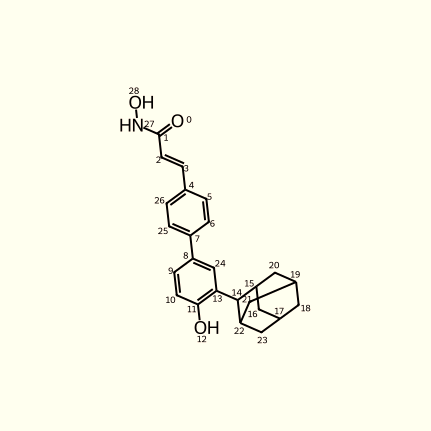 O=C(/C=C/c1ccc(-c2ccc(O)c(C3C4CC5CC(C4)CC3C5)c2)cc1)NO